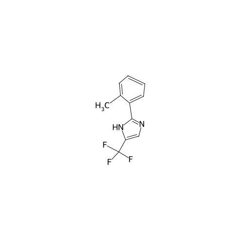 Cc1ccccc1-c1ncc(C(F)(F)F)[nH]1